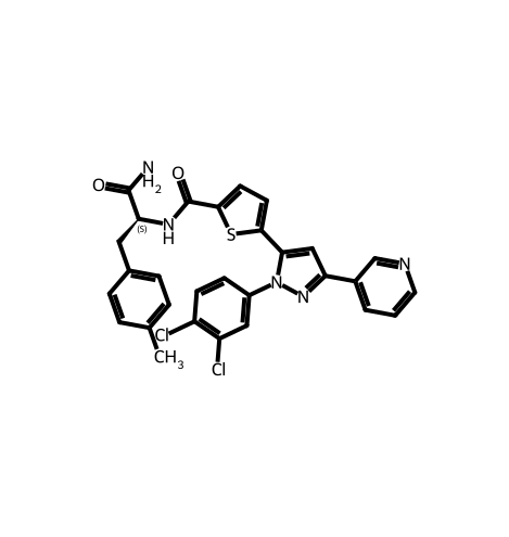 Cc1ccc(C[C@H](NC(=O)c2ccc(-c3cc(-c4cccnc4)nn3-c3ccc(Cl)c(Cl)c3)s2)C(N)=O)cc1